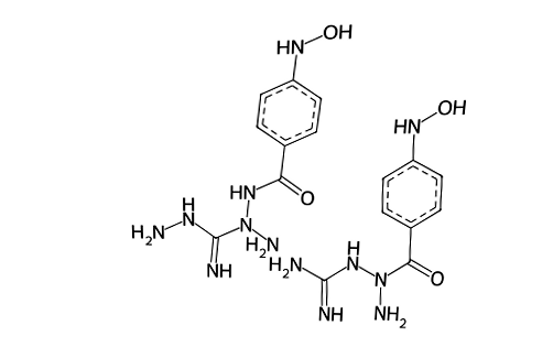 N=C(N)NN(N)C(=O)c1ccc(NO)cc1.N=C(NN)N(N)NC(=O)c1ccc(NO)cc1